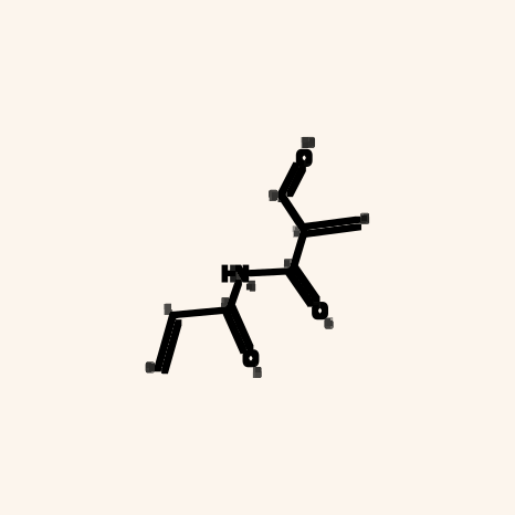 C=CC(=O)NC(=O)C(=C)[C]=O